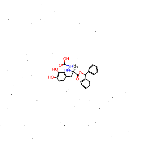 CC(Cc1ccc(O)c(O)c1)(NNC(=O)O)C(=O)OC(c1ccccc1)c1ccccc1